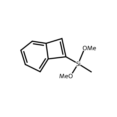 CO[Si](C)(OC)C1=Cc2ccccc21